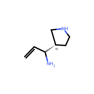 C=CC(N)[C@H]1CCNC1